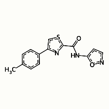 Cc1ccc(-c2csc(C(=O)Nc3ccno3)n2)cc1